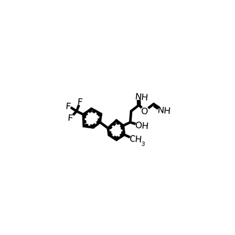 Cc1ccc(-c2ccc(C(F)(F)F)cc2)cc1C(O)CC(=N)OC=N